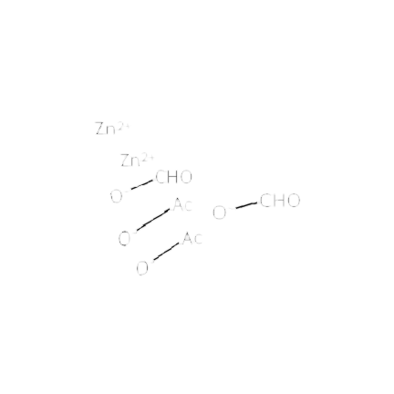 CC(=O)[O-].CC(=O)[O-].O=C[O-].O=C[O-].[Zn+2].[Zn+2]